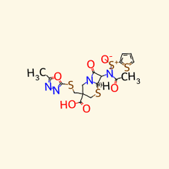 CC(=O)N(C1C(=O)N2CC(CSc3nnc(C)o3)(C(=O)O)CS[C@H]12)[S+]([O-])c1cccs1